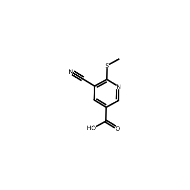 CSc1ncc(C(=O)O)cc1C#N